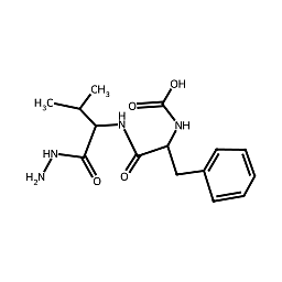 CC(C)C(NC(=O)C(Cc1ccccc1)NC(=O)O)C(=O)NN